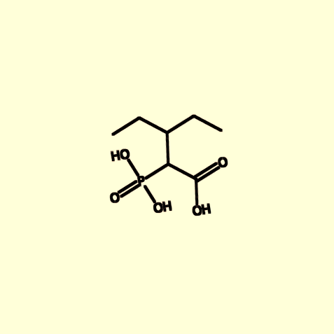 CCC(CC)C(C(=O)O)P(=O)(O)O